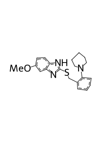 COc1ccc2[nH]c(SCc3ccccc3N3CCCCC3)nc2c1